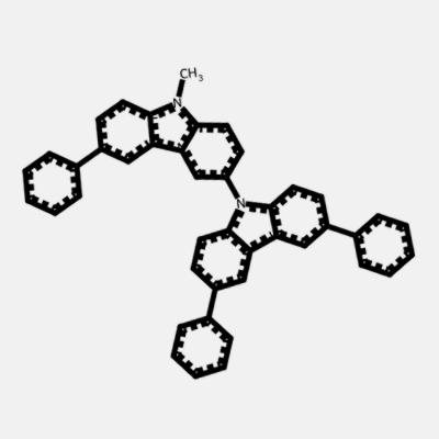 Cn1c2ccc(-c3ccccc3)cc2c2cc(-n3c4ccc(-c5ccccc5)cc4c4cc(-c5ccccc5)ccc43)ccc21